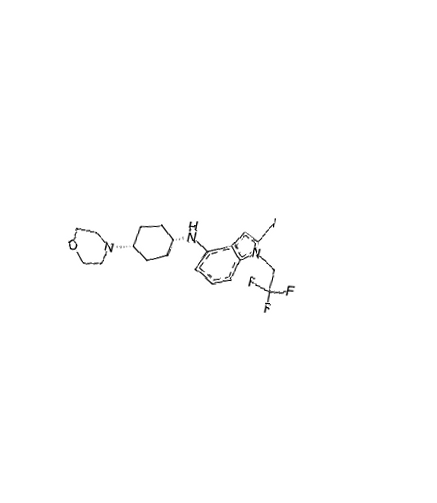 FC(F)(F)Cn1c(I)cc2c(N[C@H]3CC[C@@H](N4CCOCC4)CC3)cccc21